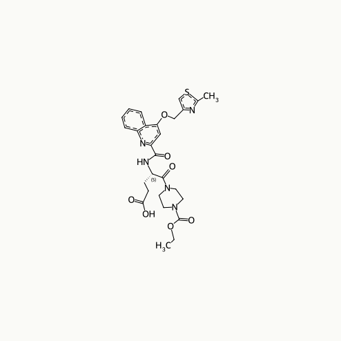 CCOC(=O)N1CCN(C(=O)[C@H](CCC(=O)O)NC(=O)c2cc(OCc3csc(C)n3)c3ccccc3n2)CC1